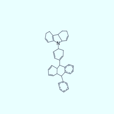 C1=CC2C(C3=CCC(N4C5=C(CCC=C5)C5CCC=CC54)C=C3)c3ccccc3C(c3ccccc3)C2C=C1